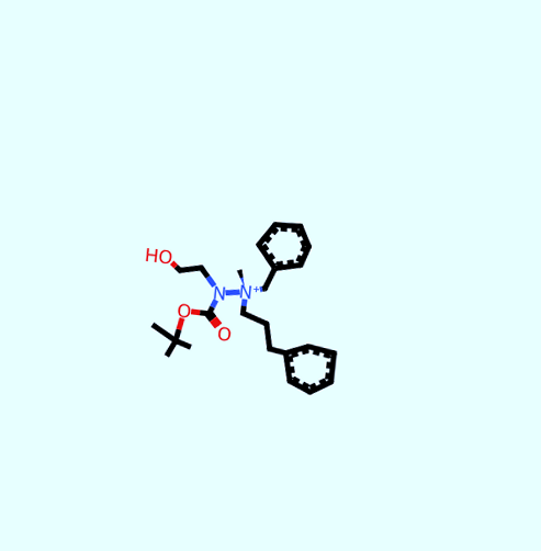 CC(C)(C)OC(=O)N(CCO)[N@@+](C)(CCCc1ccccc1)Cc1ccccc1